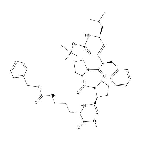 COC(=O)[C@H](CCCNC(=O)OCc1ccccc1)NC(=O)[C@@H]1CCCN1C(=O)[C@@H]1CCCN1C(=O)[C@@H](/C=C/[C@H](CC(C)C)NC(=O)OC(C)(C)C)Cc1ccccc1